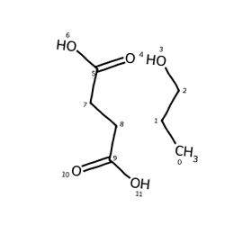 CCCO.O=C(O)CCC(=O)O